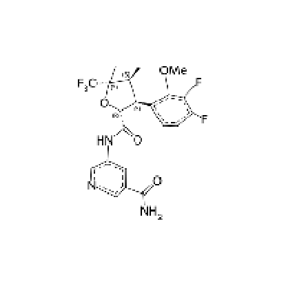 COc1c([C@H]2[C@H](C(=O)Nc3cncc(C(N)=O)c3)O[C@](C)(C(F)(F)F)[C@H]2C)ccc(F)c1F